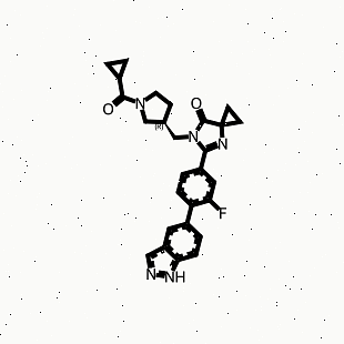 O=C(C1CC1)N1CC[C@@H](CN2C(=O)C3(CC3)N=C2c2ccc(-c3ccc4[nH]ncc4c3)c(F)c2)C1